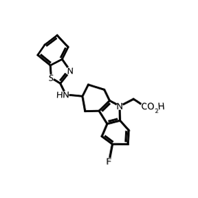 O=C(O)Cn1c2c(c3cc(F)ccc31)CC(Nc1nc3ccccc3s1)CC2